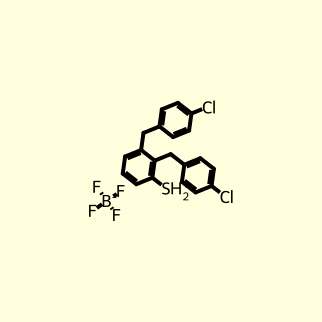 F[B-](F)(F)F.[SH2+]c1cccc(Cc2ccc(Cl)cc2)c1Cc1ccc(Cl)cc1